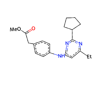 CCc1cc(Nc2ccc(CC(=O)OC)cc2)nc(C2CCCC2)n1